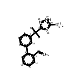 CC(C)(c1cccc(-c2ccccc2C=O)c1)c1n[nH]c(N)n1